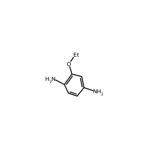 CCOc1cc(N)ccc1N